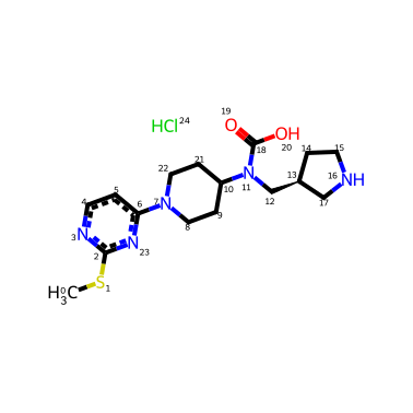 CSc1nccc(N2CCC(N(C[C@H]3CCNC3)C(=O)O)CC2)n1.Cl